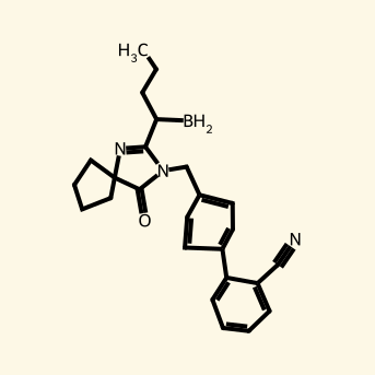 BC(CCC)C1=NC2(CCCC2)C(=O)N1Cc1ccc(-c2ccccc2C#N)cc1